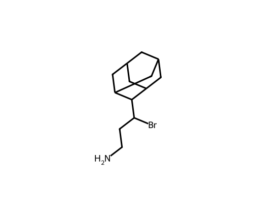 NCCC(Br)C1C2CC3CC(C2)CC1C3